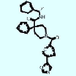 C[C@H](NC(=O)C1(c2ccccc2)CCN(C(=O)c2ccc(-c3cnco3)cc2)CC1)C1=CC=CCC1